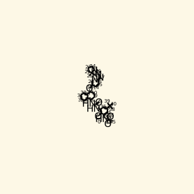 COc1c(NC(=O)N[C@H]2CC[C@@H](Oc3ccc4nnc([C@]5(C)CCCN5C)n4c3)c3ccccc32)cc(C(C)(C)C)cc1NS(C)(=O)=O